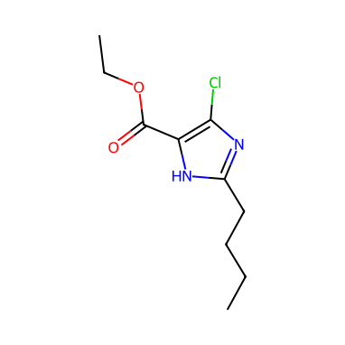 CCCCc1nc(Cl)c(C(=O)OCC)[nH]1